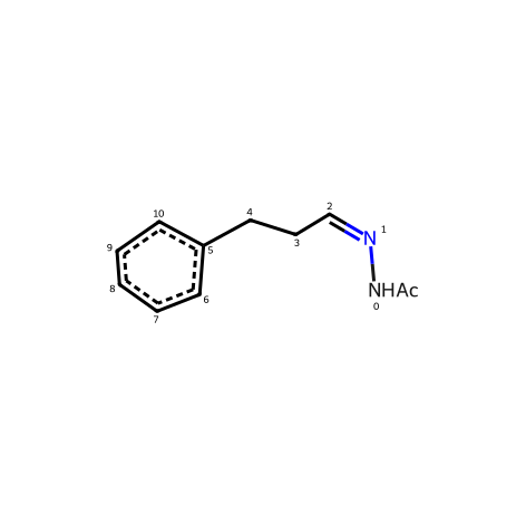 CC(=O)N/N=C\CCc1ccccc1